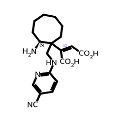 N#Cc1ccc(NCC2(/C(=C/C(=O)O)C(=O)O)CCCCCC[C@@H]2N)nc1